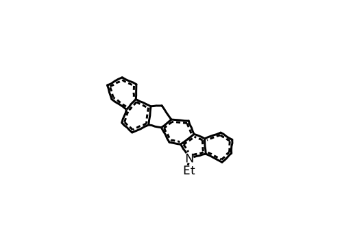 CCn1c2ccccc2c2cc3c(cc21)-c1ccc2ccccc2c1C3